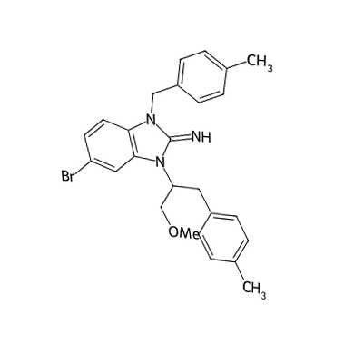 COCC(Cc1ccc(C)cc1)n1c(=N)n(Cc2ccc(C)cc2)c2ccc(Br)cc21